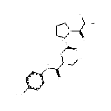 CC(C)C[C@H](NC(=O)[C@@H]1CCCN1C(=O)[C@H](C)N)C(=O)Nc1ccc([N+](=O)[O-])cc1